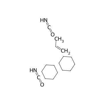 C1CCCCC1.C1CCCCC1.C=CC.N=C=O.N=C=O